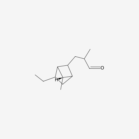 CCC1CC2C(CC(C)C=O)C1[C@H]2C